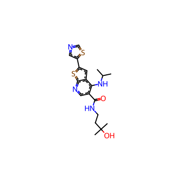 CC(C)Nc1c(C(=O)NCCC(C)(C)O)cnc2sc(-c3cncs3)cc12